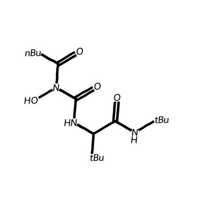 CCCCC(=O)N(O)C(=O)NC(C(=O)NC(C)(C)C)C(C)(C)C